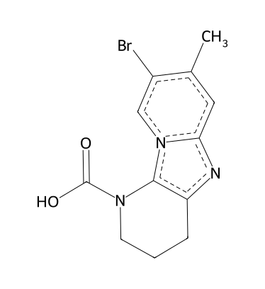 Cc1cc2nc3c(n2cc1Br)N(C(=O)O)CCC3